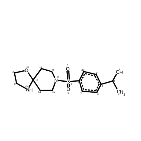 CC(O)c1ccc(S(=O)(=O)N2CCC3(CC2)NCCO3)cc1